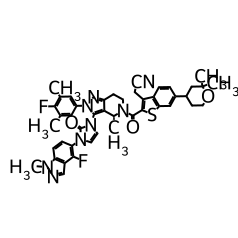 Cc1cc(-n2nc3c(c2-n2ccn(-c4ccc5c(cnn5C)c4F)c2=O)[C@H](C)N(C(=O)c2sc4cc(C5CCOC(C)(C)C5)ccc4c2CC#N)CC3)cc(C)c1F